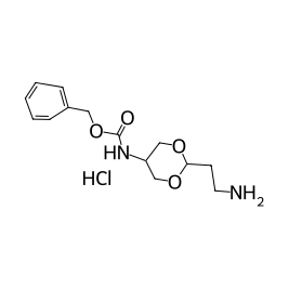 Cl.NCCC1OCC(NC(=O)OCc2ccccc2)CO1